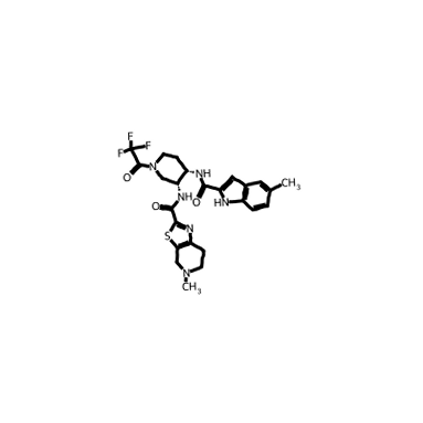 Cc1ccc2[nH]c(C(=O)N[C@H]3CCN(C(=O)C(F)(F)F)C[C@H]3NC(=O)c3nc4c(s3)CN(C)CC4)cc2c1